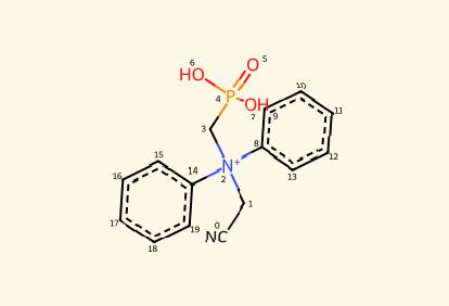 N#CC[N+](CP(=O)(O)O)(c1ccccc1)c1ccccc1